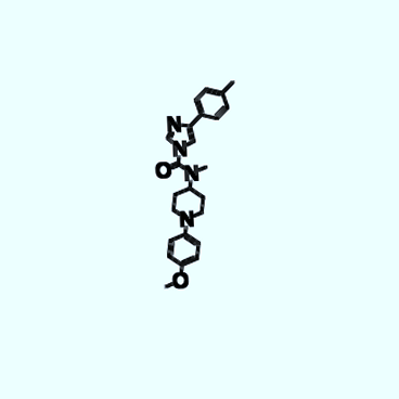 COc1ccc(N2CCC(N(C)C(=O)n3cnc(-c4ccc(C)cc4)c3)CC2)cc1